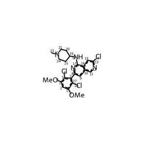 COc1cc(OC)c(Cl)c(-c2cc3cnc(Cl)cc3c(NC3CCN(C)CC3)n2)c1Cl